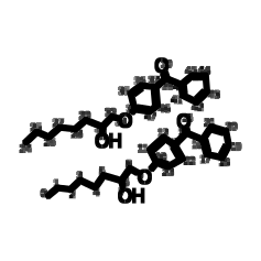 CCCCCCC(O)COc1ccc(C(=O)c2ccccc2)cc1.CCCCCCC(O)COc1ccc(C(=O)c2ccccc2)cc1